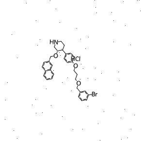 Brc1cccc(COCCCOc2ccc(C3CCNCC3OCc3ccc4ccccc4c3)cc2)c1.Cl